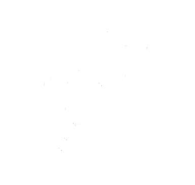 Cc1nc(CC(C)CCN=[N+]=[N-])c(CO)c(CO)c1O